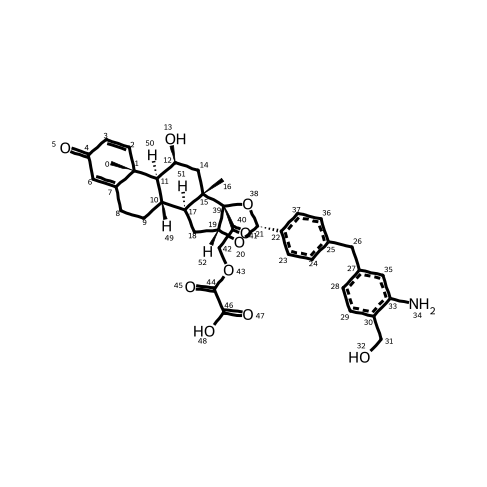 C[C@]12C=CC(=O)C=C1CC[C@@H]1[C@@H]2[C@@H](O)C[C@@]2(C)[C@H]1C[C@H]1O[C@@H](c3ccc(Cc4ccc(CO)c(N)c4)cc3)O[C@]12C(=O)COC(=O)C(=O)O